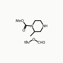 CC(C)(C)OC=O.COC(=O)N1CCNCC1C